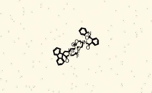 O=C(N[C@H]1CO[P@](=O)(CCCCC2(C(=O)NCC(F)(F)F)c3ccccc3-c3ccccc32)OC1)c1ccccc1-c1nc2ccccc2o1